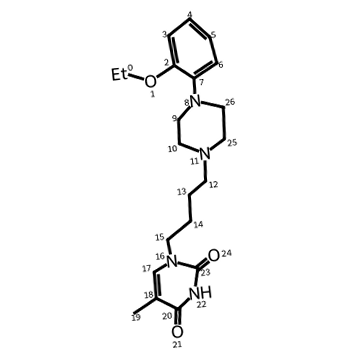 CCOc1ccccc1N1CCN(CCCCn2cc(C)c(=O)[nH]c2=O)CC1